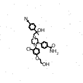 C[C@@](O)(CN1CCN(c2ccc(OCCO)cc2Cl)[C@H](c2ccc(C(N)=O)cc2)C1)c1ccc(C#N)cc1